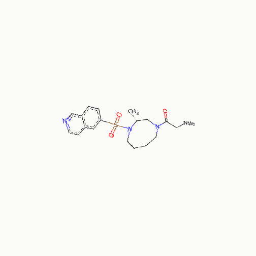 CNCC(=O)N1CCCCN(S(=O)(=O)c2ccc3cnccc3c2)[C@H](C)C1